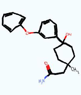 CC1(CC(N)=O)CCC(O)(c2cccc(Oc3ccccc3)c2)CC1